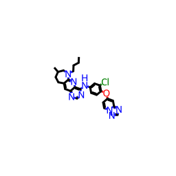 CCCCN1CC(C)CCc2cc3ncnc(Nc4ccc(Oc5ccn6ncnc6c5)c(Cl)c4)c3nc21